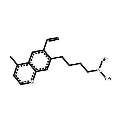 C=Cc1cc2c(C)ccnc2cc1CCCCN(CCC)CCC